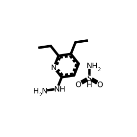 CCc1ccc(NN)nc1CC.N[SH](=O)=O